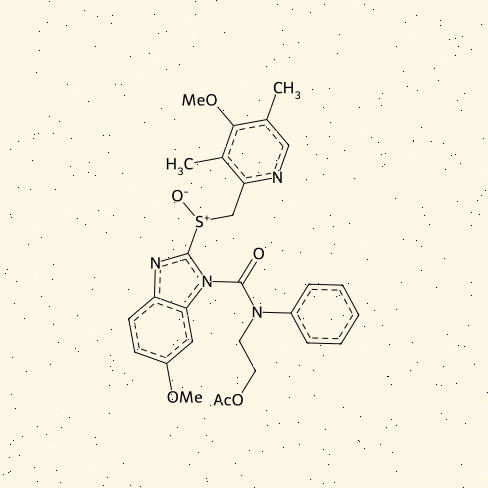 COc1ccc2nc([S+]([O-])Cc3ncc(C)c(OC)c3C)n(C(=O)N(CCOC(C)=O)c3ccccc3)c2c1